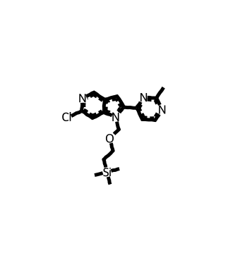 Cc1nccc(-c2cc3cnc(Cl)cc3n2COCC[Si](C)(C)C)n1